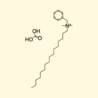 CCCCCCCCCCCCCCCC[N+](C)(C)Cc1ccccc1.O=C(O)O